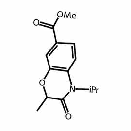 COC(=O)c1ccc2c(c1)OC(C)C(=O)N2C(C)C